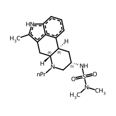 CCCN1C[C@@H](NS(=O)(=O)N(C)C)C[C@@H]2c3cccc4[nH]c(C)c(c34)C[C@H]21